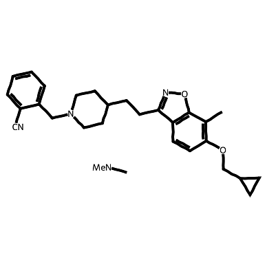 CNC.Cc1c(OCC2CC2)ccc2c(CCC3CCN(Cc4ccccc4C#N)CC3)noc12